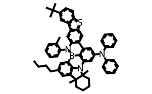 CCCCc1cc2c3c(c1)C1(C)CCCCC1(C)N3c1cc(N(c3ccccc3)c3ccccc3)cc3c1B2N(c1ccccc1C)c1cc2c(cc1-3)sc1ccc(C(C)(C)C)cc12